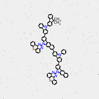 CC1(C)c2ccccc2-c2cc(-n3c4ccccc4c4cc(-c5ccc6c(c5)c5cc7ccc(-c8ccc9c%10cc(-c%11ccc%12c(c%11)c%11cc%13ccccc%13cc%11n%12-c%11nc%12c%13c(cccc%13n%11)Sc%11ccccc%11-%12)ccc%10n(-c%10ccccc%10)c9c8)cc7cc5n6-c5nc6c7c(cccc7n5)Sc5ccccc5-6)ccc43)ccc21